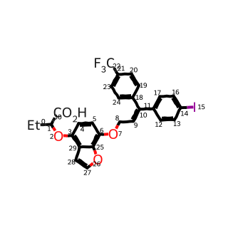 CCC(Oc1ccc(OCC=C(c2ccc(I)cc2)c2ccc(C(F)(F)F)cc2)c2occc12)C(=O)O